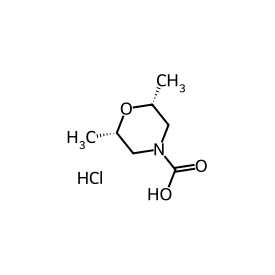 C[C@@H]1CN(C(=O)O)C[C@H](C)O1.Cl